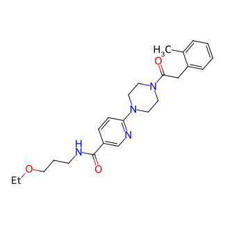 CCOCCCNC(=O)c1ccc(N2CCN(C(=O)Cc3ccccc3C)CC2)nc1